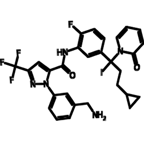 NCc1cccc(-n2nc(C(F)(F)F)cc2C(=O)Nc2cc(C(I)(CCC3CC3)n3ccccc3=O)ccc2F)c1